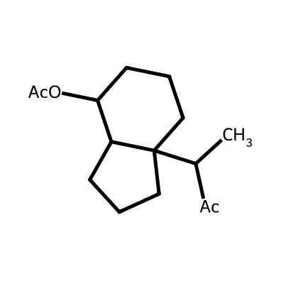 CC(=O)OC1CCCC2(C(C)C(C)=O)CCCC12